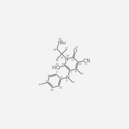 Cc1ccc(N(C)c2c(C)c(C#N)c(=O)n(C(C)(C)CC(C)(C)C)c2O)cc1